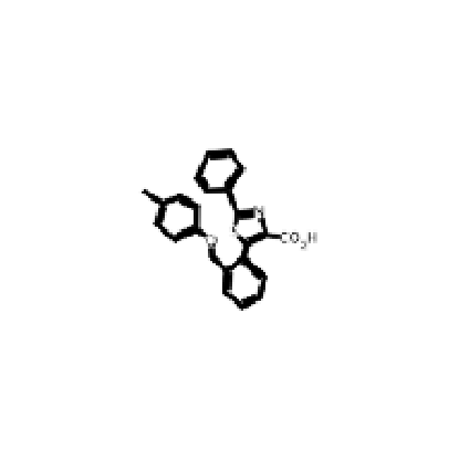 Cc1ccc(OCc2ccccc2-c2sc(-c3ccccc3)nc2C(=O)O)cc1